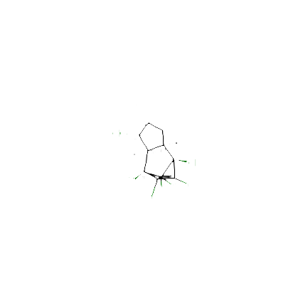 ClC1=C(Cl)[C@]2(Cl)[C@H]3[C@H](Cl)[C@H](Cl)C[C@H]3[C@@]1(Cl)C2(Cl)Cl